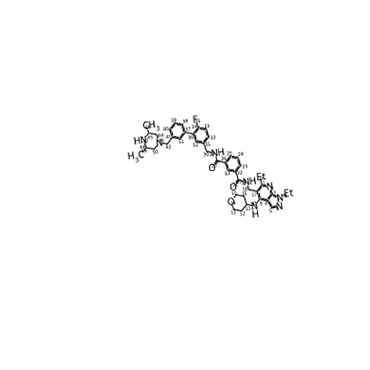 CCc1nc2c(cnn2CC)c(NC2CCOCC2)c1CNC(=O)c1cccc(C(=O)NCc2ccc(F)c(-c3cccc(CN4CC(C)NC(C)C4)c3)c2)c1